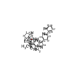 CC[C@@]12CC[C@@H](C[C@H](c3nc4c(-c5ccc(-c6ccccc6F)nc5)cnn4c(N)c3S(C)(=O)=O)C1)N2C(N)=O